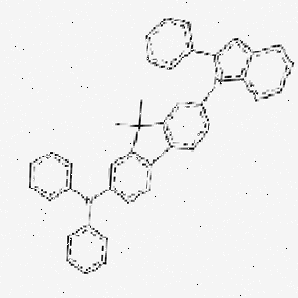 CC1(C)c2cc(N(c3ccccc3)c3ccccc3)ccc2-c2ccc(-n3c(-c4ccccc4)cc4ccccc43)cc21